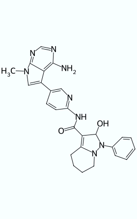 Cn1cc(-c2ccc(NC(=O)C3=C4CCCCN4N(c4ccccc4)C3O)nc2)c2c(N)ncnc21